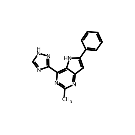 Cc1nc(-c2nc[nH]n2)c2[nH]c(-c3ccccc3)cc2n1